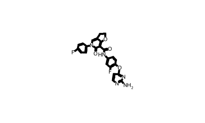 Nc1nccc(Oc2ccc(NC(=O)c3c4c(cn(-c5ccc(F)cc5)c3=O)CCO4)cc2F)n1